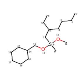 CCCCC(CC)C[Si](C)(OC)OCC1CCCCC1